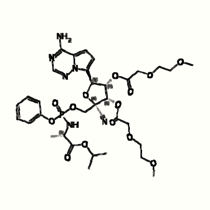 COCCOCC(=O)O[C@H]1[C@H](c2ccc3c(N)ncnn23)O[C@](C#N)(COP(=O)(N[C@@H](C)C(=O)OC(C)C)Oc2ccccc2)[C@H]1OC(=O)COCCOC